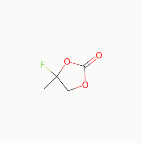 CC1(F)COC(=O)O1